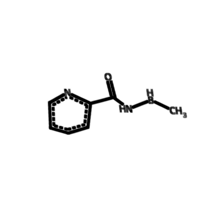 CBNC(=O)c1ccccn1